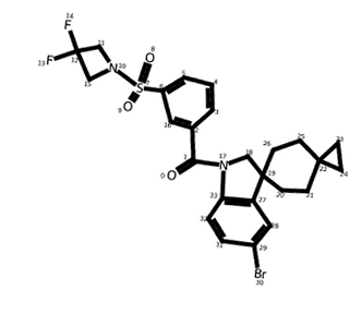 O=C(c1cccc(S(=O)(=O)N2CC(F)(F)C2)c1)N1CC2(CCC3(CC3)CC2)c2cc(Br)ccc21